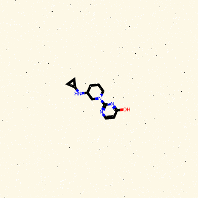 Oc1ccnc(N2CCCC(NC3CC3)C2)n1